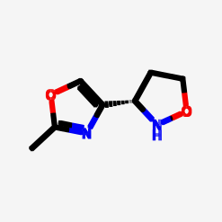 Cc1nc([C@@H]2CCON2)co1